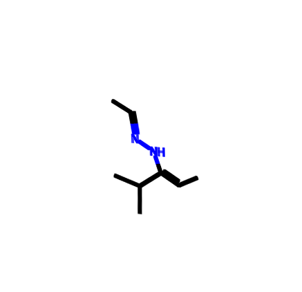 C/C=C(\N/N=C/C)C(C)C